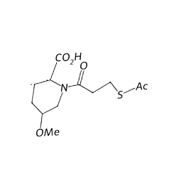 COC1C[CH][C](C(=O)O)N(C(=O)CCSC(C)=O)C1